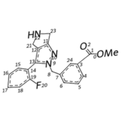 COC(=O)c1cccc(Cn2nc3c(c2-c2ccccc2F)CNC3)c1